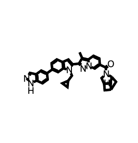 Cc1c(-c2cc3ccc(-c4ccc5[nH]ncc5c4)cc3n2CC2CC2)nn2cc(C(=O)N3CC4CC5CC3[C@H]54)ccc12